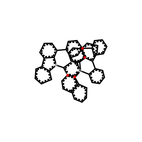 c1ccc(-c2ccc(-c3cccc4c5ccccc5n(-c5nc(-c6ccccc6)nc(-c6ccccc6-c6ccccc6N(c6ccccc6)c6ccccc6)n5)c34)cc2)cc1